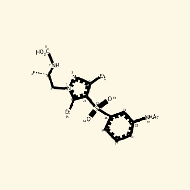 CCc1nn(C[C@H](C)NC(=O)O)c(CC)c1S(=O)(=O)c1cccc(NC(C)=O)c1